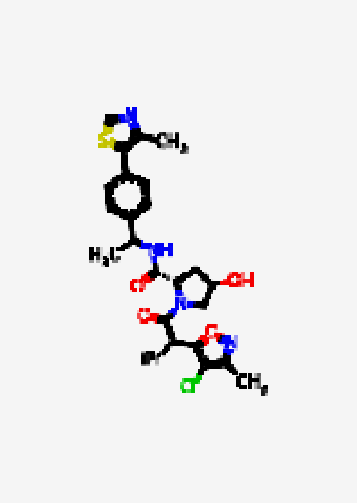 Cc1ncsc1-c1ccc([C@H](C)NC(=O)[C@@H]2C[C@@H](O)CN2C(=O)[C@@H](c2onc(C)c2Cl)C(C)C)cc1